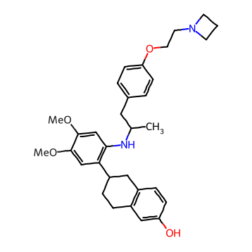 COc1cc(NC(C)Cc2ccc(OCCN3CCC3)cc2)c(C2CCc3cc(O)ccc3C2)cc1OC